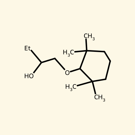 CCC(O)COC1C(C)(C)CCCC1(C)C